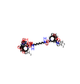 CN(C)CC1C(=O)O[C@H]2[C@H]1CC/C(COC(=O)NCCCCCCCCNC(=O)OC/C1=C/CC[C@@]3(C)O[C@H]3[C@H]3OC(=O)C(CN(C)C/C(=C\C(=O)O)C(=O)O)[C@@H]3CC1)=C\CC[C@@]1(C)O[C@@H]21